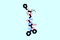 CC(OC(=O)CCNC(=O)c1ncc(C(=O)NC(c2ccccc2)c2ccccc2)c(O)n1)C(=O)OCc1ccccc1